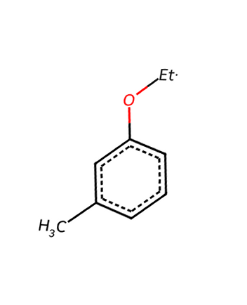 C[CH]Oc1cccc(C)c1